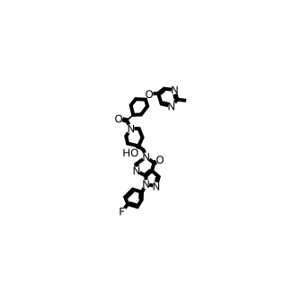 Cc1ncc(O[C@H]2CC[C@H](C(=O)N3CCC(O)(Cn4cnc5c(cnn5-c5ccc(F)cc5)c4=O)CC3)CC2)cn1